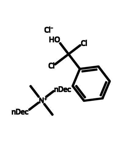 CCCCCCCCCC[N+](C)(C)CCCCCCCCCC.OC(Cl)(Cl)c1ccccc1.[Cl-]